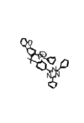 CC1(C)c2ccc(-c3nc(-c4ccccc4)nc(-c4ccccc4)n3)cc2P(=O)(c2ccccc2)c2cc3oc4ccccc4c3cc21